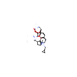 CCC12CCC(C(C)N(C)C(=O)C3=CC(=O)NCC=C3)C13CCN(CC1CC1)C2Cc1ccc(O)cc13